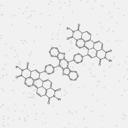 CC(C)N1C(=O)C2=CC=C3C4=c5c6c(ccc5=C5C=CC(=C2C35)C1=O)C(=O)N(C(C)C)C(=O)C6C=C4c1ccc(-c2c3sc4ccccc4c3c(-c3ccc(C4=CC5=C6C(=CC=C7C8=c9c%10c(ccc9=C4C76)C(=O)N(C(C)C)C(=O)C%10C=C8)C(=O)N(C(C)C)C5=O)cc3)c3sc4ccccc4c23)cc1